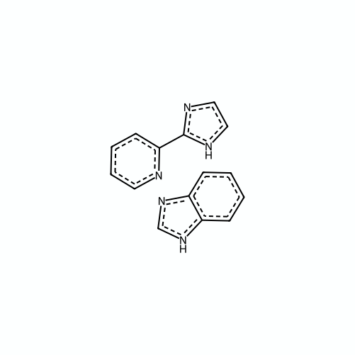 c1ccc(-c2ncc[nH]2)nc1.c1ccc2[nH]cnc2c1